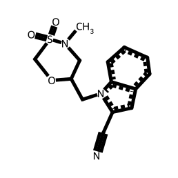 CN1CC(Cn2c(C#N)cc3ccccc32)OCS1(=O)=O